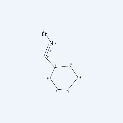 CC/N=C/C1CCCCC1